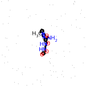 Cc1ccccc1N1CCN(c2ccc(C(=O)NCCCNC(=O)C3CCOCC3)cc2C(N)=O)CC1